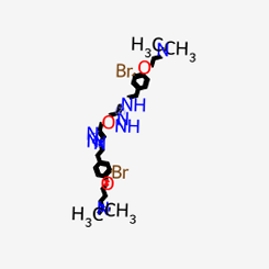 CN(C)CCCOc1ccc(CCN/C=C(/COCc2cn(CCc3ccc(OCCCN(C)C)c(Br)c3)nn2)N=N)cc1Br